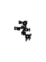 CCOCCOC(Sc1cncc(Br)c1)[C@@H](O)Cn1cc(-c2cc(F)c(F)c(F)c2)cn1